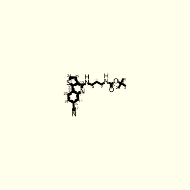 CC(C)(C)OC(=O)NCCCNc1nc2cc(C#N)ccc2c2sccc12